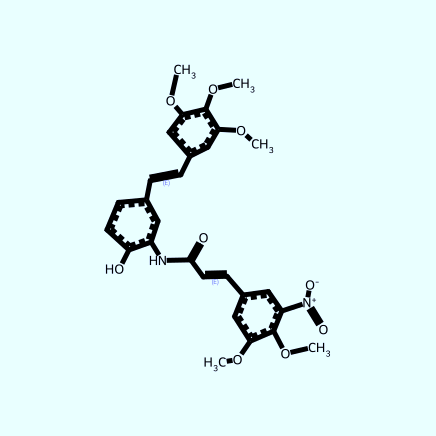 COc1cc(/C=C/c2ccc(O)c(NC(=O)/C=C/c3cc(OC)c(OC)c([N+](=O)[O-])c3)c2)cc(OC)c1OC